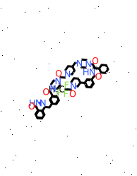 CC(F)(F)C(=O)N1CCCC(c2cccc(C(=O)N[C@@H](C(=O)N3CCN(CC4CCN(CC(=O)N5CCN(C(=O)c6cc(Cc7n[nH]c(=O)c8ccccc78)ccc6F)CC5)CC4)CC3)C3CCCCC3)c2)C1